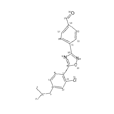 CC(C)Cc1ccc(-c2nc(-c3ccc(C=O)cc3)no2)c(Cl)c1